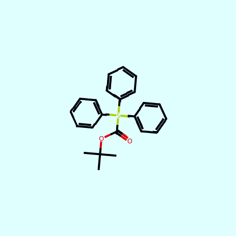 CC(C)(C)OC(=O)S(c1ccccc1)(c1ccccc1)c1ccccc1